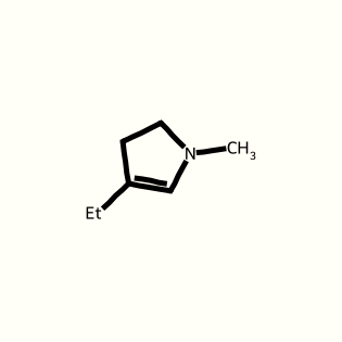 CCC1=CN(C)CC1